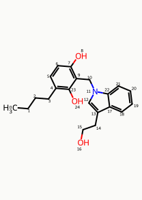 CCCCc1ccc(O)c(Cn2cc(CCO)c3ccccc32)c1O